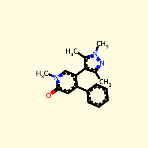 Cc1nn(C)c(C)c1-c1cn(C)c(=O)cc1-c1ccccc1